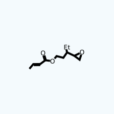 CC=CC(=O)OCCC(CC)C1CO1